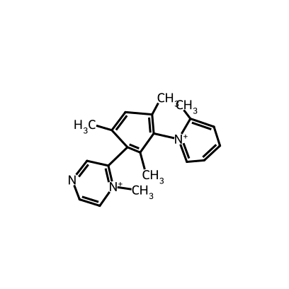 Cc1cc(C)c(-[n+]2ccccc2C)c(C)c1-c1cncc[n+]1C